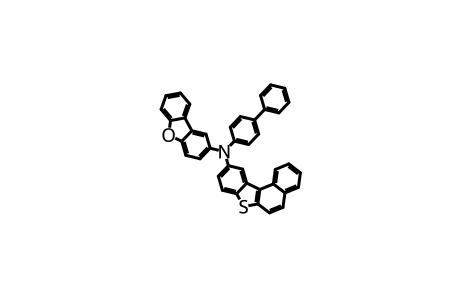 c1ccc(-c2ccc(N(c3ccc4oc5ccccc5c4c3)c3ccc4sc5ccc6ccccc6c5c4c3)cc2)cc1